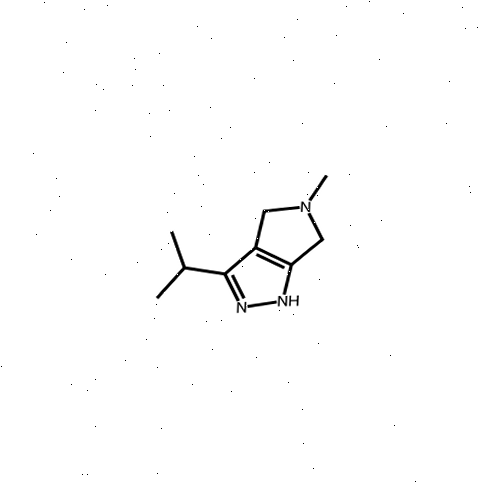 CC(C)c1n[nH]c2c1CN(C)C2